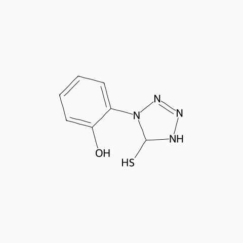 Oc1ccccc1N1N=NNC1S